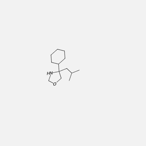 CC(C)CC1(C2CCCCC2)COCN1